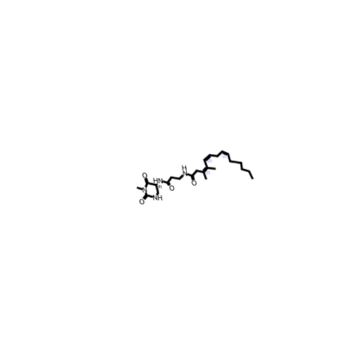 CCCCC/C=C\C/C=C\C(C)=C(\C)CC(=O)NCCC(=O)N[C@@H]1CNC(=O)N(C)C1=O